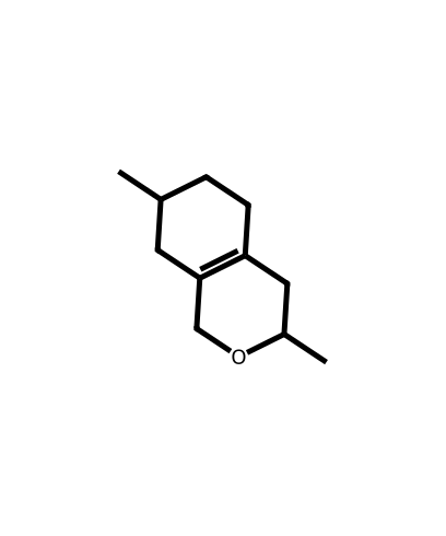 CC1CCC2=C(COC(C)C2)C1